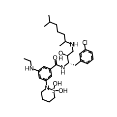 CCNc1cc(C(=O)N[C@@H](Cc2cccc(Cl)c2)[C@@H](O)CNC(C)CCCC(C)C)cc(N2CCCCS2(O)O)c1